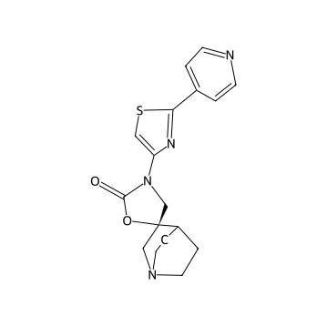 O=C1O[C@]2(CN3CCC2CC3)CN1c1csc(-c2ccncc2)n1